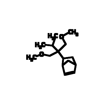 COCC(COC)(C(C)C)C1CC2C=CC1C2